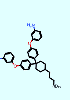 CCCCCCCCCCCCCC1CCC(c2ccc(Oc3cccc(N)c3)cc2)(c2ccc(Oc3cccc(N)c3)cc2)CC1